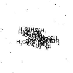 CCOP(=O)(OCC)C(COC)CC(OC[C@H]1O[C@@H](n2ncc3c(N(C(=O)OC(C)(C)C)C4CCCC4)nc(Cl)nc32)[C@@H]2OC(C)(C)O[C@@H]21)C(=O)OC(C)(C)C